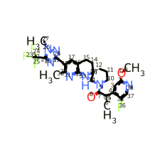 COc1cc([C@@H](C)C(=O)N2CCC[C@]3(CCc4cc(-c5nc(C(F)(F)F)n(C)n5)c(C)nc4N3)C2)c(F)cn1